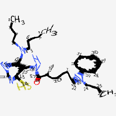 CCCCN(CCCC)c1ncnc(S)c1NC(=O)CCCCN(CCC)c1ccccc1